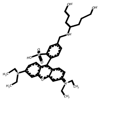 CCN(CC)c1ccc2c(-c3ccc(CNC(CCCO)CCCO)cc3S(=O)(=O)O)c3ccc(=[N+](CC)CC)cc-3oc2c1